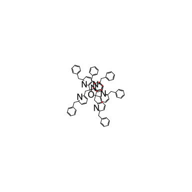 c1ccc(Cc2cccc(CC(OC(Cc3cccc(Cc4ccccc4)n3)(c3cccc(Cc4ccccc4)n3)c3cccc(Cc4ccccc4)n3)(c3cccc(Cc4ccccc4)n3)c3cccc(Cc4ccccc4)n3)n2)cc1